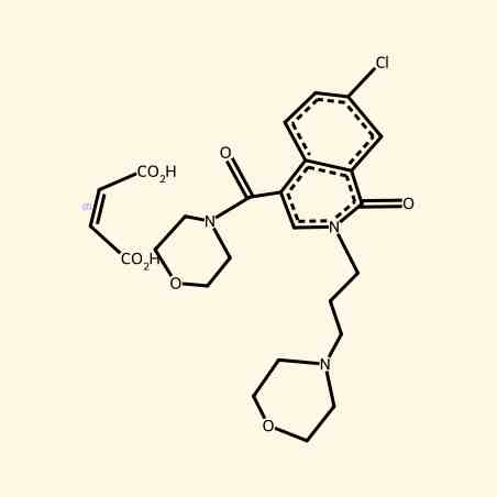 O=C(O)/C=C\C(=O)O.O=C(c1cn(CCCN2CCOCC2)c(=O)c2cc(Cl)ccc12)N1CCOCC1